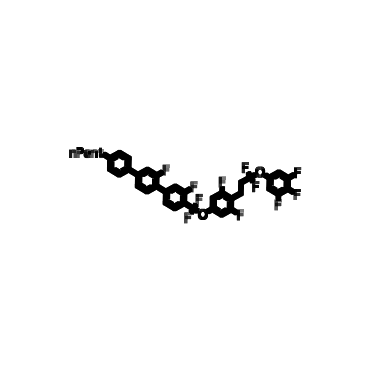 CCCCCc1ccc(-c2ccc(-c3ccc(C(F)(F)Oc4cc(F)c(CCC(F)(F)Oc5cc(F)c(F)c(F)c5)c(F)c4)c(F)c3)c(F)c2)cc1